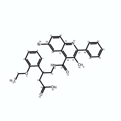 CCOc1ccccc1C(CNC(=O)c1c(C)c(-c2ccccc2)nc2ccc(Br)cc12)CC(=O)O